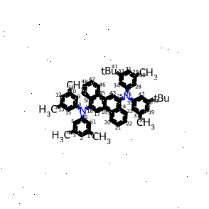 Cc1cc(C)cc(N(c2cc(C)cc(C)c2)c2cc3c4ccccc4c(N(c4cc(C)cc(C(C)(C)C)c4)c4cc(C)cc(C(C)(C)C)c4)cc3c3ccccc23)c1